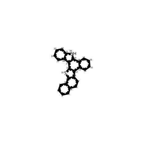 c1ccc2c(c1)ccc1c2sc2c1c1ccccc1c1[nH]c3ccccc3c12